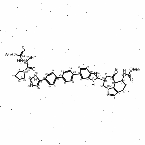 COC(=O)N[C@H]1CCc2ccn3c2C1C(=O)C[C@H](c1nc2ccc(-c4ccc(-c5ccc(-c6cnc([C@@H]7CCCN7C(=O)[C@@H](NC(=O)OC)C(C)C)[nH]6)cc5)cc4)cc2[nH]1)C3